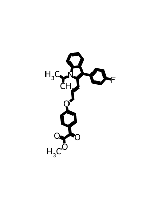 COC(=O)C(=O)c1ccc(OC/C=C/c2c(-c3ccc(F)cc3)c3ccccc3n2C(C)C)cc1